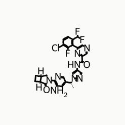 C[C@H](c1cnc(N2C[C@H]3CC[C@H]3C2=O)c(N)c1)n1cc(NC(=O)c2cncc(-c3c(C(F)F)ccc(Cl)c3F)n2)cn1